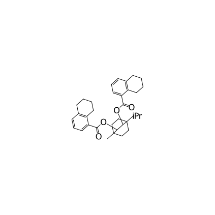 CC(C)C12CCC(C)(CC1)C(OC(=O)c1cccc3c1CCCC3)C2OC(=O)c1cccc2c1CCCC2